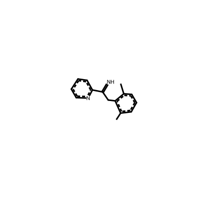 Cc1cccc(C)c1CC(=N)c1ccccn1